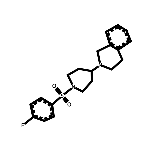 O=S(=O)(c1ccc(F)cc1)N1CCC(N2CCc3ccccc3C2)CC1